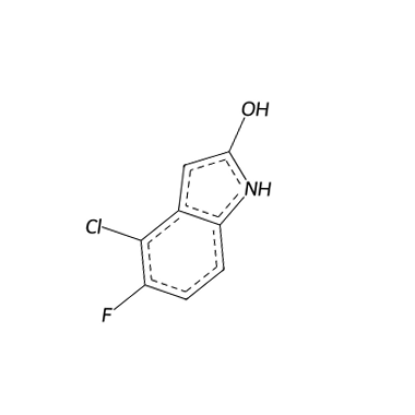 Oc1cc2c(Cl)c(F)ccc2[nH]1